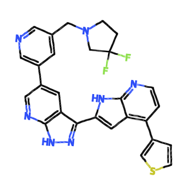 FC1(F)CCN(Cc2cncc(-c3cnc4[nH]nc(-c5cc6c(-c7ccsc7)ccnc6[nH]5)c4c3)c2)C1